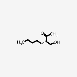 CCCCC[C@@H](CO)C(C)=O